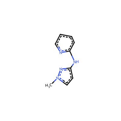 Cn1ccc(Nc2ccccn2)n1